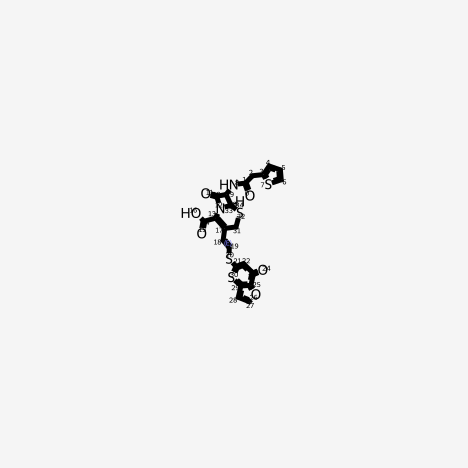 O=C(Cc1cccs1)NC1C(=O)N2C(C(=O)O)=C(/C=C/Sc3cc(=O)c4occc4s3)CS[C@H]12